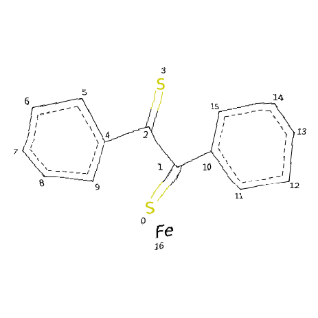 S=C(C(=S)c1ccccc1)c1ccccc1.[Fe]